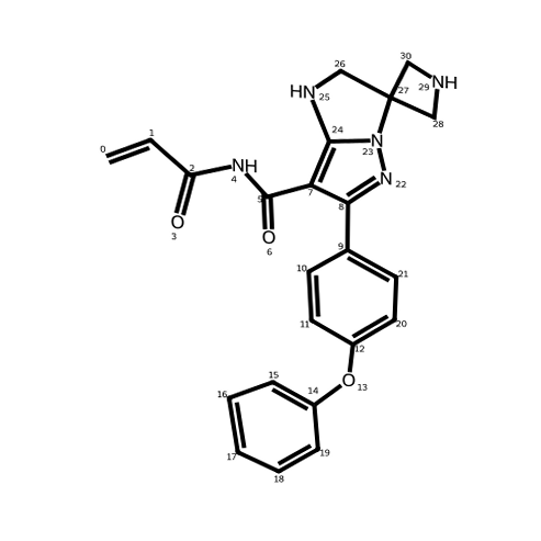 C=CC(=O)NC(=O)c1c(-c2ccc(Oc3ccccc3)cc2)nn2c1NCC21CNC1